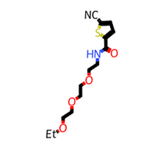 CCOCCOCCOCCNC(=O)c1ccc(C#N)s1